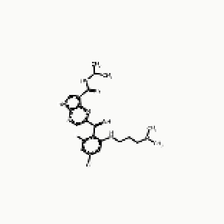 CC(C)NC(=O)c1c[nH]c2ncc(C(=N)c3c(F)cc(Cl)cc3NCCCN(C)C)nc12